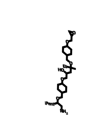 CCCC(C)C(CN)OCC1CCC(OCC(O)CC(C)(CC)OCC2CCC(OCC3CO3)CC2)CC1